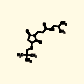 CC(C)CNC(=O)CCN1C(=O)CC(SCC(C)(C)C)C1=O